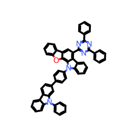 c1ccc(-c2nc(-c3ccccc3)nc(-c3cc4c5ccccc5oc4c4c3c3ccccc3n4-c3ccc(-c4ccc5c6ccccc6n(-c6ccccc6)c5c4)cc3)n2)cc1